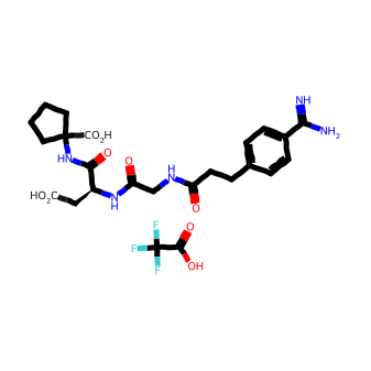 N=C(N)c1ccc(CCC(=O)NCC(=O)N[C@@H](CC(=O)O)C(=O)NC2(C(=O)O)CCCC2)cc1.O=C(O)C(F)(F)F